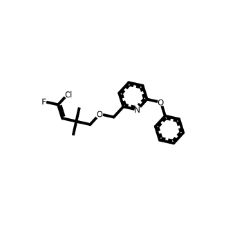 CC(C)(C=C(F)Cl)COCc1cccc(Oc2ccccc2)n1